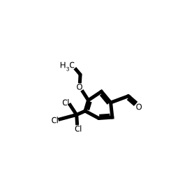 CCOc1cc([C]=O)ccc1C(Cl)(Cl)Cl